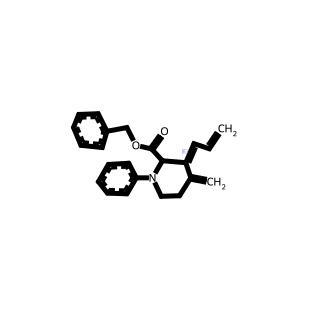 C=C/C=C1\C(=C)CCN(c2ccccc2)C1C(=O)OCc1ccccc1